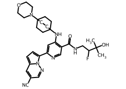 CC(C)(O)C(F)CNC(=O)c1cnc(-c2ccc3cc(C#N)cnn23)cc1NC12CCC(N3CCOCC3)(CC1)CC2